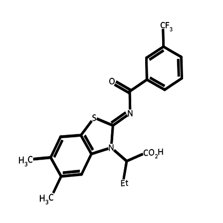 CCC(C(=O)O)n1/c(=N/C(=O)c2cccc(C(F)(F)F)c2)sc2cc(C)c(C)cc21